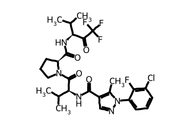 Cc1c(C(=O)N[C@H](C(=O)N2CCC[C@H]2C(=O)N[C@H](C(=O)C(F)(F)F)C(C)C)C(C)C)cnn1-c1cccc(Cl)c1F